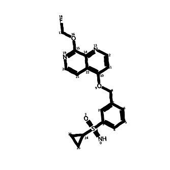 N=S(=O)(c1cccc(COc2ccnc3c(OCF)nccc23)c1)C1CC1